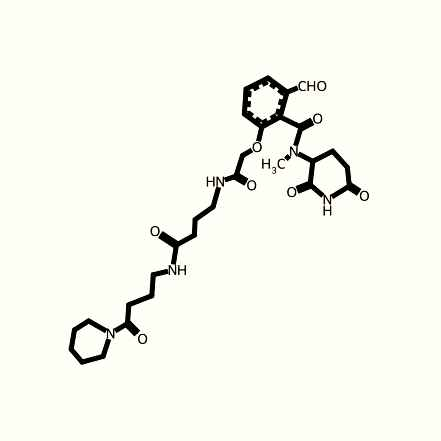 CN(C(=O)c1c(C=O)cccc1OCC(=O)NCCCC(=O)NCCCC(=O)N1CCCCC1)C1CCC(=O)NC1=O